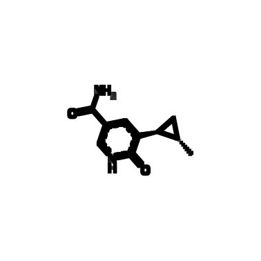 C[C@H]1C[C@@H]1c1cc(C(N)=O)c[nH]c1=O